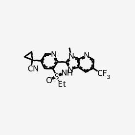 CC[S@@](=N)(=O)c1cc(C2(C#N)CC2)cnc1-c1nc2cc(C(F)(F)F)cnc2n1C